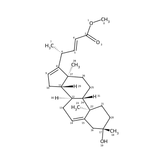 COC(=O)/C=C/[C@@H](C)C1=CC[C@H]2[C@@H]3CC=C4C[C@@](C)(O)CC[C@]4(C)[C@H]3CC[C@]12C